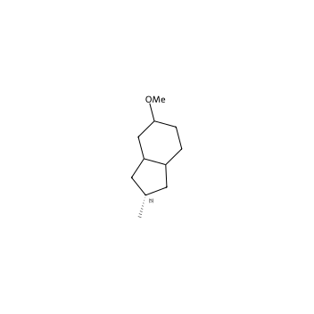 COC1CCC2C[C@H](C)CC2C1